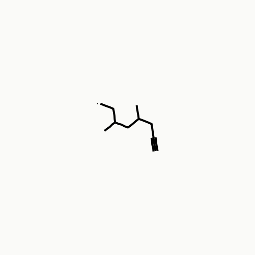 C#CCC(C)CC(C)C[CH2]